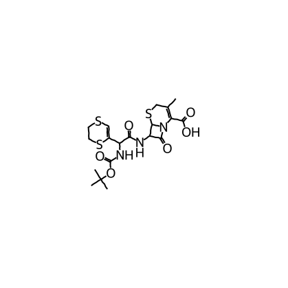 CC1=C(C(=O)O)N2C(=O)C(NC(=O)C(NC(=O)OC(C)(C)C)C3=CSCCS3)C2SC1